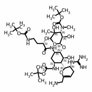 CN(C(=O)OC(C)(C)C)[C@@H]1[C@@H](O)[C@@H](O[C@H]2[C@H](NC(=O)[C@@H](O)CCNC(=O)OC(C)(C)C)C[C@H](NC(=O)OC(C)(C)C)C([C@H]3OC(CN)=CC[C@H]3NC(=N)N)[C@@H]2O)OC[C@]1(C)O